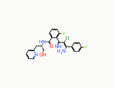 N=C(/C(Cl)=C(\N)c1ccc(F)cc1)c1c(F)cccc1C(=O)N[C@@H](CO)Cc1ccccn1